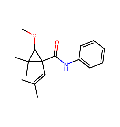 COC1C(C)(C)C1(C=C(C)C)C(=O)Nc1ccccc1